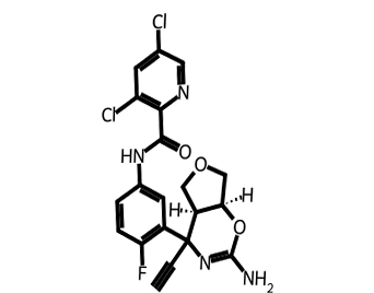 C#CC1(c2cc(NC(=O)c3ncc(Cl)cc3Cl)ccc2F)N=C(N)O[C@@H]2COC[C@@H]21